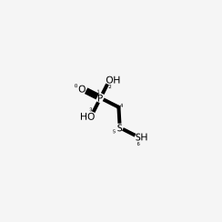 O=P(O)(O)CSS